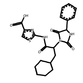 O=C(O)c1csc(NC(=O)C(CC2CCCCC2)N2C(=O)NC(c3ccccc3)C2=O)n1